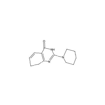 O=c1[nH]c(N2CCCCC2)nc2c1C=CCC2